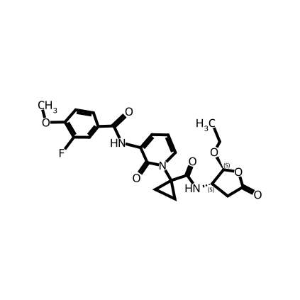 CCO[C@H]1OC(=O)C[C@@H]1NC(=O)C1(n2cccc(NC(=O)c3ccc(OC)c(F)c3)c2=O)CC1